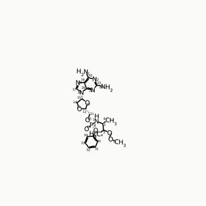 COOC(C)[C@H](C)NP(=O)(OC[C@@H]1OC[C@H](n2cnc3c(N)nc(N)nc32)O1)Oc1ccccc1